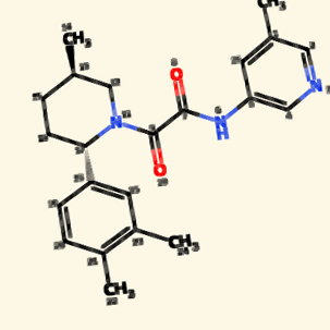 Cc1cncc(NC(=O)C(=O)N2C[C@H](C)CC[C@H]2c2ccc(C)c(C)c2)c1